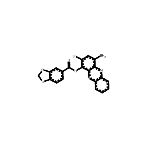 Bc1cc(Br)c(OC(=O)c2ccc3c(c2)OCO3)c2nc3ccccc3nc12